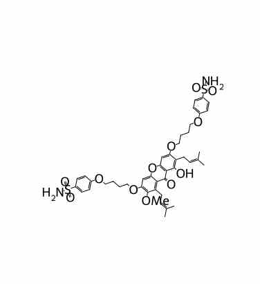 COc1c(OCCCCOc2ccc(S(N)(=O)=O)cc2)cc2oc3cc(OCCCCOc4ccc(S(N)(=O)=O)cc4)c(CC=C(C)C)c(O)c3c(=O)c2c1CC=C(C)C